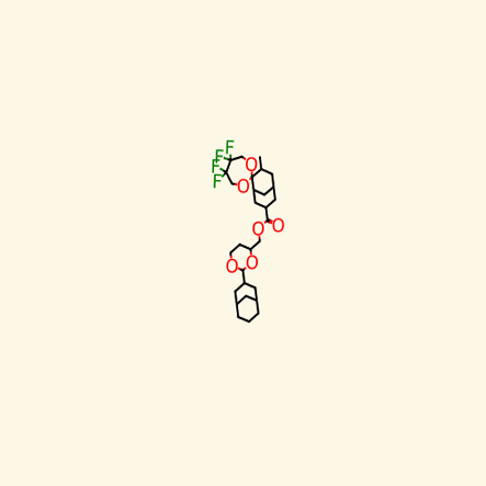 CC1CC2CC(C(=O)OCC3CCOC(C4CC5CCCC(C5)C4)O3)CC(C2)C12OCC(F)(F)C(F)(F)CO2